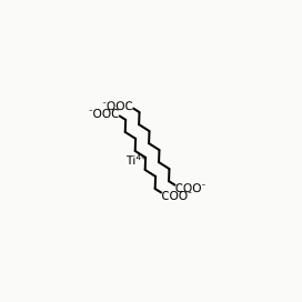 O=C([O-])CCCCCCCCC(=O)[O-].O=C([O-])CCCCCCCCC(=O)[O-].[Ti+4]